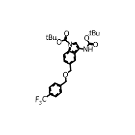 CC(C)(C)OC(=O)Nc1cn(C(=O)OC(C)(C)C)c2ccc(COCc3ccc(C(F)(F)F)cc3)cc12